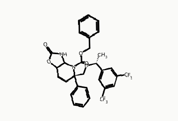 C[C@@H](OC[C@@]1(c2ccccc2)CCC2OC(=O)NC2N1C(=O)OCc1ccccc1)c1cc(C(F)(F)F)cc(C(F)(F)F)c1